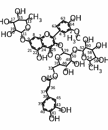 COc1cc(-c2oc3cc(O[C@@H]4OC(C)[C@H](O)C(O)C4O)cc(O)c3c(=O)c2O[C@@H]2OC(COC(=O)/C=C/c3ccc(O)c(O)c3)[C@@H](O)C(O)C2O[C@@H]2OC(C)[C@H](O)C(O)[C@@H]2O)ccc1O